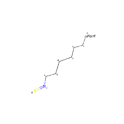 CCCCCCCCCCCN=S